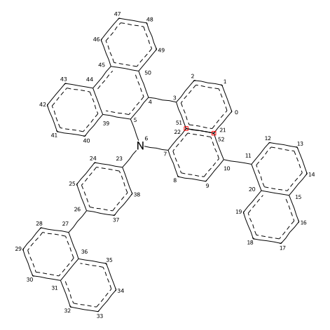 c1ccc(-c2c(N(c3ccc(-c4cccc5ccccc45)cc3)c3ccc(-c4cccc5ccccc45)cc3)c3ccccc3c3ccccc23)cc1